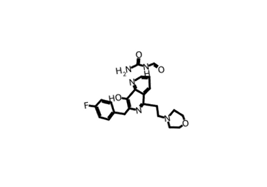 NC(=O)NC=O.Oc1c(Cc2ccc(F)cc2)nc(CCN2CCOCC2)c2cccnc12